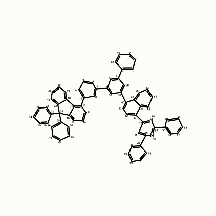 c1ccc(-c2cc(-c3cccc(-c4cccc5c4-c4ccccc4C5(c4ccccc4)c4ccccc4)c3)cc(-c3ccc(-c4cc(-c5ccccc5)nc(-c5ccccc5)n4)c4ccccc34)c2)cc1